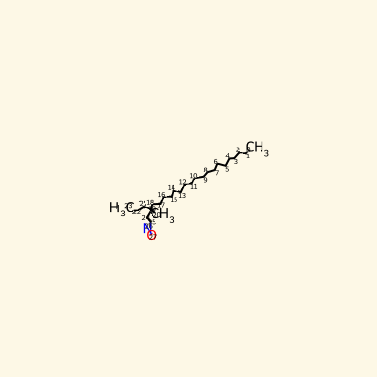 CCCCCCCCCCCCCCCCCCCC(C)(CCC)CCN=O